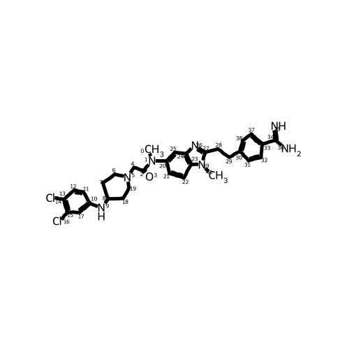 CN(C(=O)CN1CCC(Nc2ccc(Cl)c(Cl)c2)CC1)c1ccc2c(c1)nc(CCc1ccc(C(=N)N)cc1)n2C